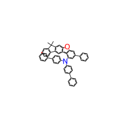 CC1(C)c2ccccc2-c2cc3c(cc21)oc1cc(-c2ccccc2)cc(N(c2ccc(-c4ccccc4)cc2)c2ccc(-c4ccccc4)cc2)c13